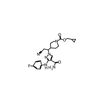 N#CCC(C1CCN(C(=O)OCC2CC2)CC1)n1cc(C(N)=O)c(Nc2ccc(F)cc2)n1